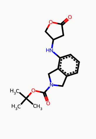 CC(C)(C)OC(=O)N1Cc2cccc(NC3COC(=O)C3)c2C1